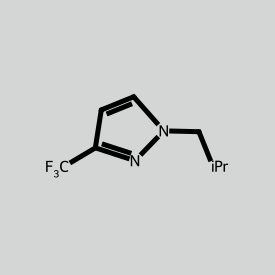 CC(C)Cn1ccc(C(F)(F)F)n1